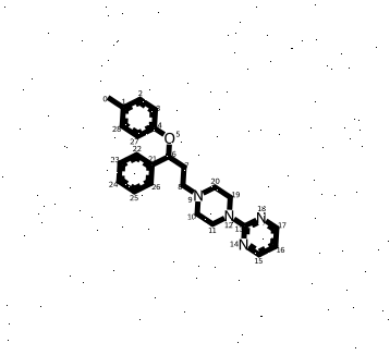 Cc1ccc(OC(CCN2CCN(c3ncccn3)CC2)c2ccccc2)cc1